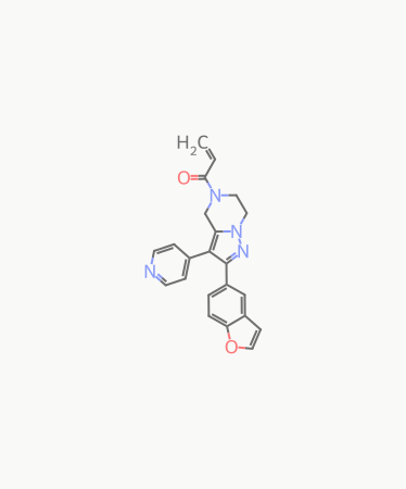 C=CC(=O)N1CCn2nc(-c3ccc4occc4c3)c(-c3ccncc3)c2C1